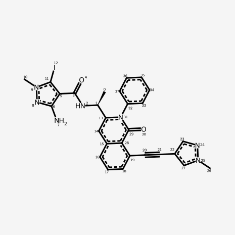 C[C@H](NC(=O)c1c(N)nn(C)c1I)c1cc2cccc(C#Cc3cnn(C)c3)c2c(=O)n1-c1ccccc1